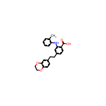 Cc1ccccc1Nc1cc(CCc2ccc3c(c2)OCCO3)ccc1C(=O)O